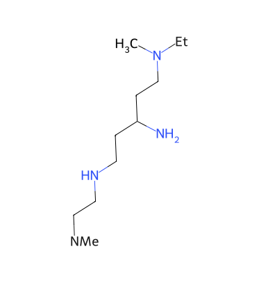 CCN(C)CCC(N)CCNCCNC